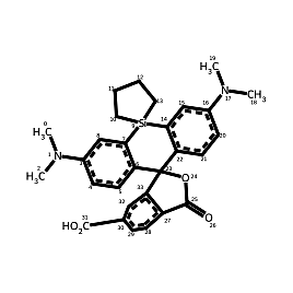 CN(C)c1ccc2c(c1)[Si]1(CCCC1)c1cc(N(C)C)ccc1C21OC(=O)c2ccc(C(=O)O)cc21